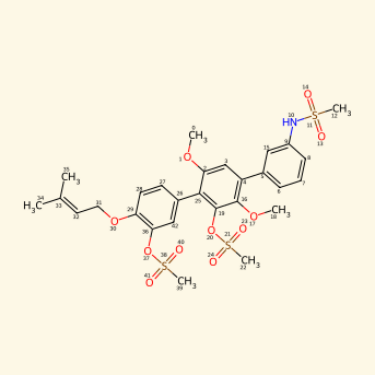 COc1cc(-c2cccc(NS(C)(=O)=O)c2)c(OC)c(OS(C)(=O)=O)c1-c1ccc(OCC=C(C)C)c(OS(C)(=O)=O)c1